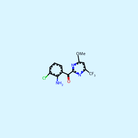 COc1cc(C(F)(F)F)nc(C(=O)c2cccc(Cl)c2N)n1